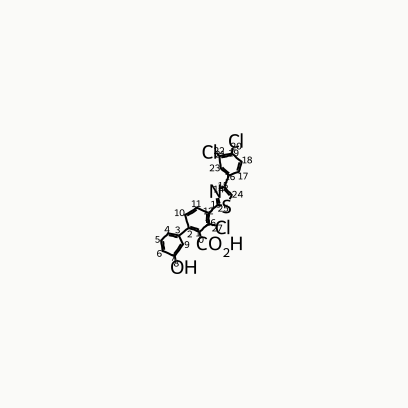 O=C(O)c1c(-c2cccc(O)c2)ccc(-c2nc(-c3ccc(Cl)c(Cl)c3)cs2)c1Cl